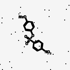 COc1ccc(OS(=O)(=O)c2ccc([N+](=O)[O-])cc2)cc1